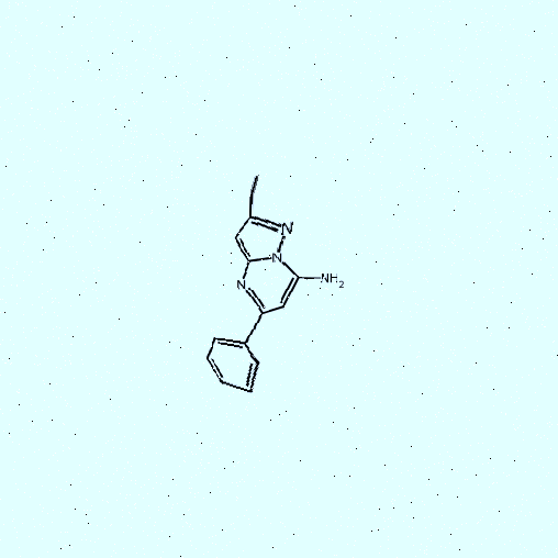 Cc1cc2nc(-c3ccccc3)cc(N)n2n1